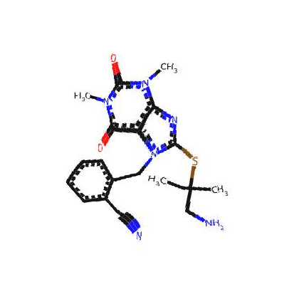 Cn1c(=O)c2c(nc(SC(C)(C)CN)n2Cc2ccccc2C#N)n(C)c1=O